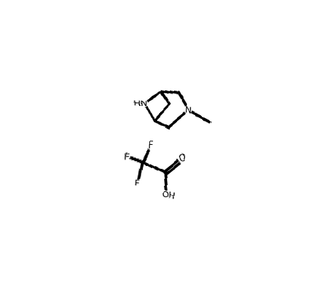 CN1CC2CC(C1)N2.O=C(O)C(F)(F)F